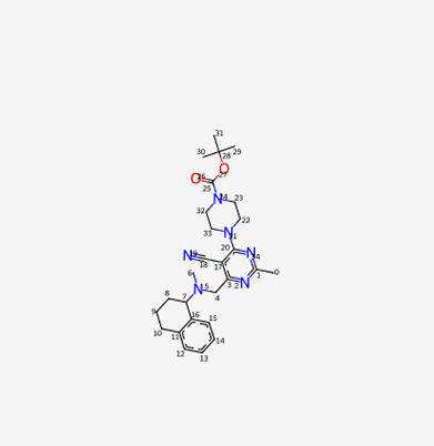 Cc1nc(CN(C)C2CCCc3ccccc32)c(C#N)c(N2CCN(C(=O)OC(C)(C)C)CC2)n1